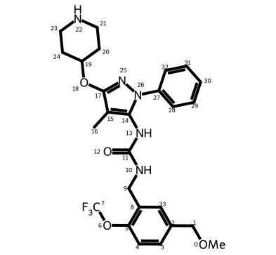 COCc1ccc(OC(F)(F)F)c(CNC(=O)Nc2c(C)c(OC3CCNCC3)nn2-c2ccccc2)c1